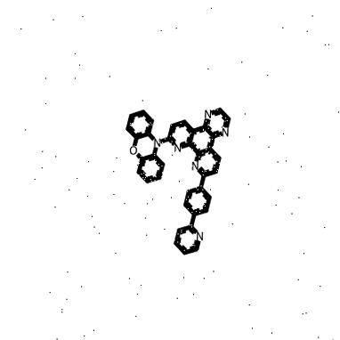 c1ccc(-c2ccc(-c3ccc4c5nccnc5c5ccc(N6c7ccccc7Oc7ccccc76)nc5c4n3)cc2)nc1